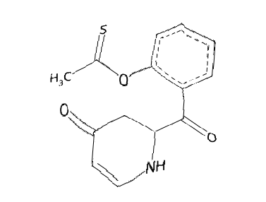 CC(=S)Oc1ccccc1C(=O)C1CC(=O)C=CN1